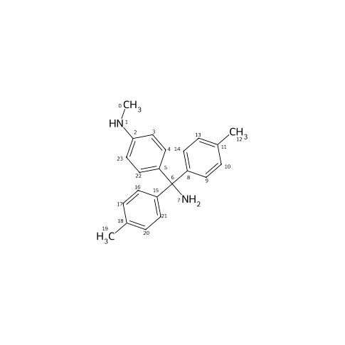 CNc1ccc(C(N)(c2ccc(C)cc2)c2ccc(C)cc2)cc1